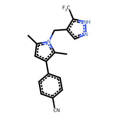 Cc1cc(-c2ccc(C#N)cc2)c(C)n1Cc1cn[nH]c1C(F)(F)F